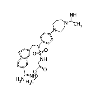 CCOC(=O)CNS(=O)(=O)N(Cc1ccc2ccc(C(=N)N)cc2c1)c1ccc(N2CCCN(C(C)=N)CC2)cc1